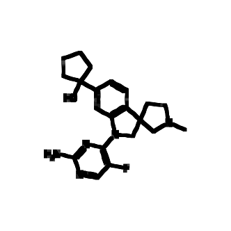 CN1CCC2(C1)CN(c1nc(N)ncc1F)c1cc(C3(O)CCCC3)ccc12